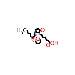 CCCCC[C@@H](/C=C/[C@H]1C=CC(=O)[C@@H]1CC=CCCCC(=O)O)OC1CCCCO1